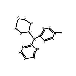 Cc1ccc(N(c2ncccn2)C2CCOCC2)cc1